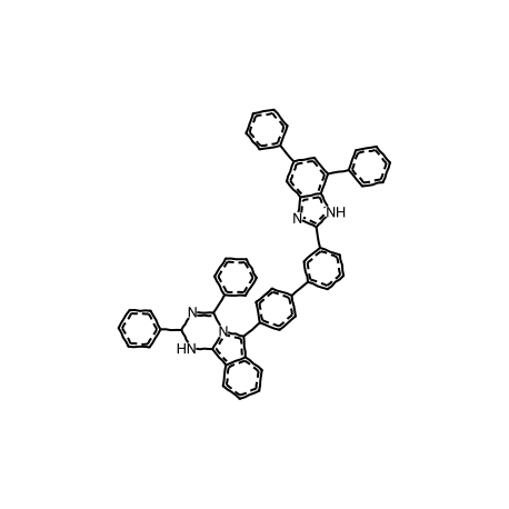 c1ccc(C2=NC(c3ccccc3)Nc3c4ccccc4c(-c4ccc(-c5cccc(-c6nc7cc(-c8ccccc8)cc(-c8ccccc8)c7[nH]6)c5)cc4)n32)cc1